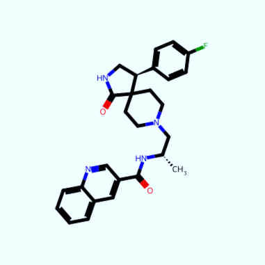 C[C@@H](CN1CCC2(CC1)C(=O)NC[C@H]2c1ccc(F)cc1)NC(=O)c1cnc2ccccc2c1